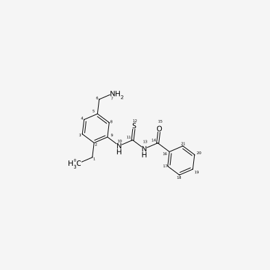 CCc1ccc(CN)cc1NC(=S)NC(=O)c1ccccc1